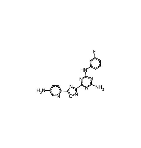 Nc1ccc(-c2nc(-c3nc(N)nc(Nc4cccc(F)c4)n3)no2)nc1